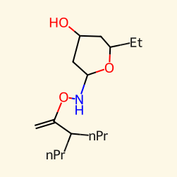 C=C(ONC1CC(O)CC(CC)O1)C(CCC)CCC